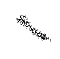 CC(OC(=O)N1CCC(COc2cnc(-c3ccc(S(C)(=O)=O)cc3)cn2)CC1)C1CC1